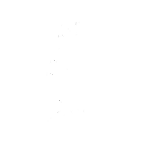 CC(C)S(=O)(=O)NCCCNC(=O)Nc1ccc(N2C[C@@H](C)O[C@@H](C)C2)cc1